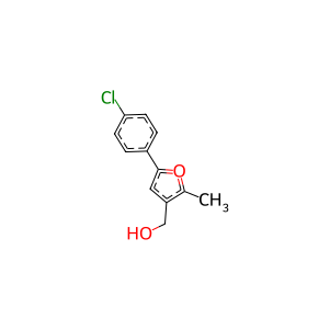 Cc1oc(-c2ccc(Cl)cc2)cc1CO